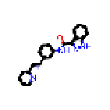 O=C(Nc1cccc(/C=C/c2ccccn2)c1)c1n[nH]c2ccccc12